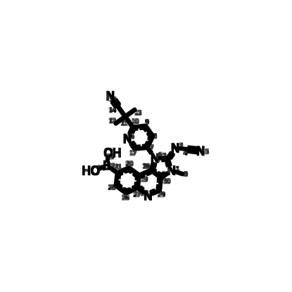 Cn1c(=NC#N)n(-c2ccc(C(C)(C)C#N)nc2)c2c3cc(B(O)O)ccc3ncc21